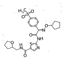 CS(=O)(=O)c1ccc(/C(=N\OC2CCCC2)C(=O)Nc2ncc(C(=O)NCC3CCCO3)s2)cc1